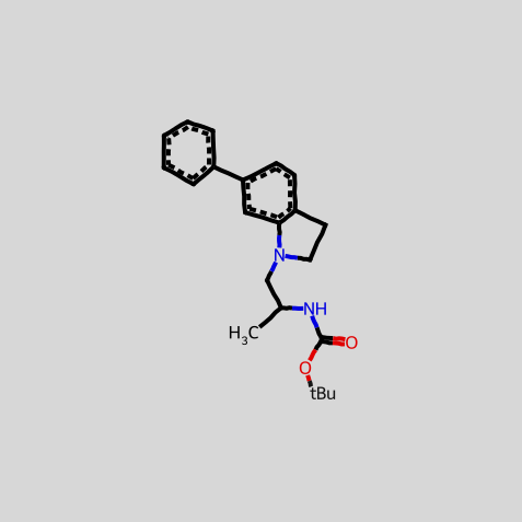 CC(CN1CCc2ccc(-c3ccccc3)cc21)NC(=O)OC(C)(C)C